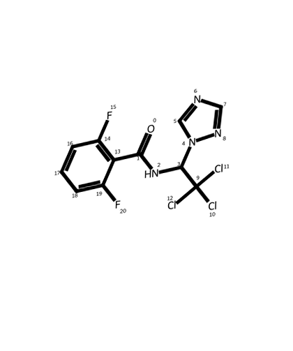 O=C(NC(n1cncn1)C(Cl)(Cl)Cl)c1c(F)cccc1F